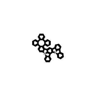 c1ccc2c(c1)-c1ccccc1-c1ccc3c(c1-c1ccccc1-2)c1cc2c4cccc5c6ccccc6n(c54)c2c2c4ccccc4n3c12